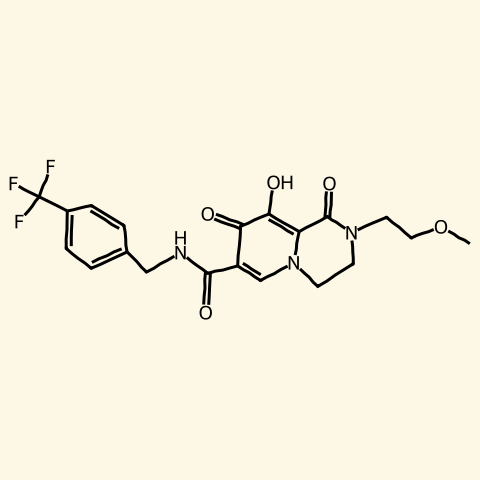 COCCN1CCn2cc(C(=O)NCc3ccc(C(F)(F)F)cc3)c(=O)c(O)c2C1=O